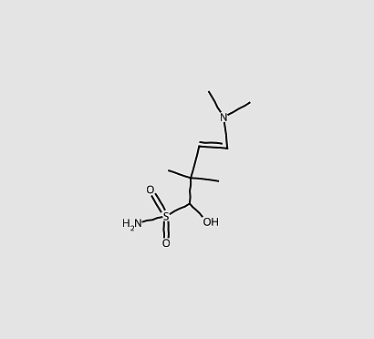 CN(C)C=CC(C)(C)C(O)S(N)(=O)=O